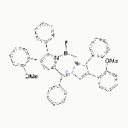 COc1ccccc1C1=C/C(=C(\c2ccccc2)c2cc(-c3ccccc3OC)c(-c3ccccc3)n2B(F)F)N=C1c1ccccc1